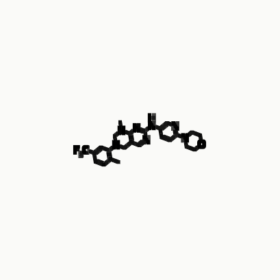 Cc1ccc(C(F)(F)F)cc1N1Cc2cnc(Nc3ccc(N4CCOCC4)nc3)nc2N(C)C1